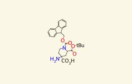 CC(C)(C)OC(=O)C1CC(N)(C(=O)O)CCN1C(=O)OCC1c2ccccc2-c2ccccc21